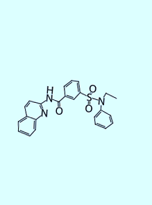 CCN(c1ccccc1)S(=O)(=O)c1cccc(C(=O)Nc2ccc3ccccc3n2)c1